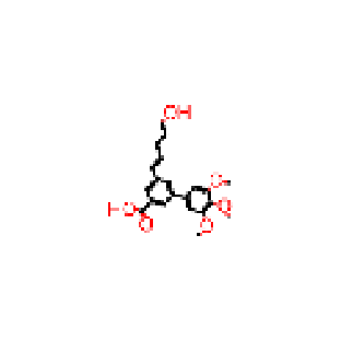 COc1cc(-c2cc(C=CCCCO)cc(C(=O)O)c2)cc(OC)c1OC